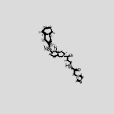 O=C(Cn1ccnc1)NCCC(=O)N1CCC2NC(NC3Cc4ccccc4C3)=NC=C2C1